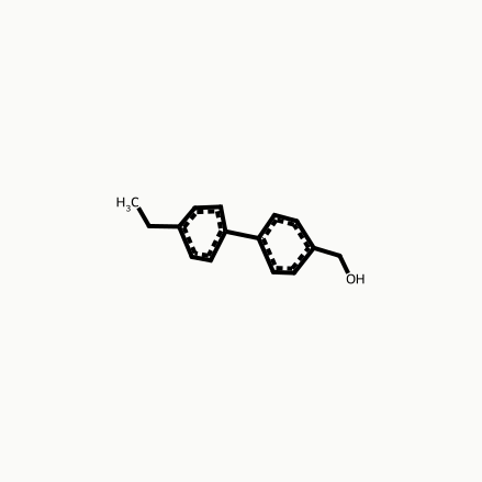 CCc1ccc(-c2ccc(CO)cc2)cc1